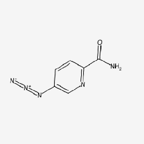 [N-]=[N+]=Nc1ccc(C(N)=O)nc1